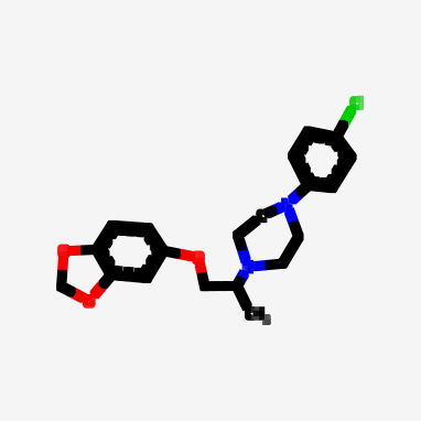 CC(COc1ccc2c(c1)OCO2)N1CCN(c2ccc(Cl)cc2)CC1